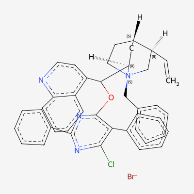 C=C[C@H]1C[N@+]2(Cc3ccccc3)CC[C@H]1C[C@@H]2C(Oc1nc(-c2ccccc2)nc(Cl)c1-c1ccccc1)c1ccnc2ccccc12.[Br-]